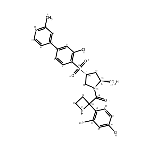 Cc1cc(-c2ccc(S(=O)(=O)[C@@H]3C[C@@H](C(=O)O)N(C(=O)C4(c5ncc(Cl)cc5F)CCN4)C3)c(Cl)c2)ccn1